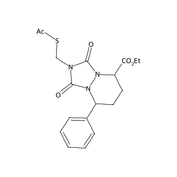 CCOC(=O)C1CCC(c2ccccc2)n2c(=O)n(CSC(C)=O)c(=O)n21